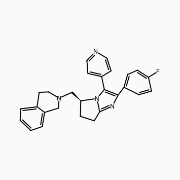 Fc1ccc(-c2nc3n(c2-c2ccncc2)[C@H](CN2CCc4ccccc4C2)CC3)cc1